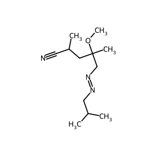 COC(C)(CN=NCC(C)C)CC(C)C#N